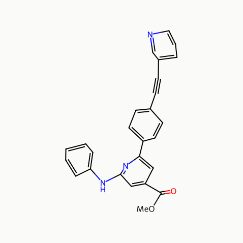 COC(=O)c1cc(Nc2ccccc2)nc(-c2ccc(C#Cc3cccnc3)cc2)c1